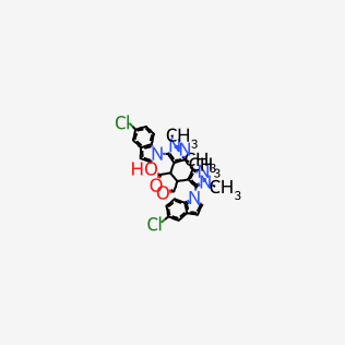 Cc1nn(C)c(-n2ccc3cc(Cl)ccc32)c1C(C=O)C(C(=O)O)c1c(C)nn(C)c1-n1ccc2cc(Cl)ccc21